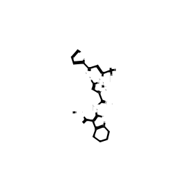 COC(=O)c1c(NC(=O)c2cc3nc(-c4ccco4)cc(C(F)(F)F)n3n2)sc2c1CCCC2